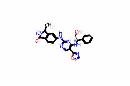 CC1NC(=O)c2ccc(Nc3ncc(-c4ncno4)c(N[C@H](CO)c4ccccc4)n3)cc21